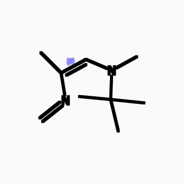 C=N/C(C)=C\N(C)C(C)(C)C